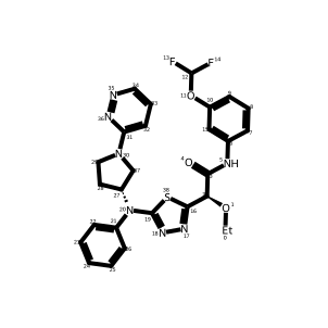 CCO[C@H](C(=O)Nc1cccc(OC(F)F)c1)c1nnc(N(c2ccccc2)[C@@H]2CCN(c3cccnn3)C2)s1